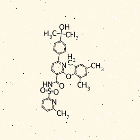 Cc1cc(C)c(Oc2nc(-c3ccc(C(C)(C)O)cc3)ccc2C(=O)NS(=O)(=O)c2cccc(C)n2)c(C)c1